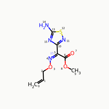 C=CCO/N=C(\C(=O)OC)c1nsc(N)n1